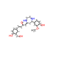 COc1cc(C2C/C(=C/C(=O)/C=C/c3ccc(O)c(CO)c3)NCCN2)ccc1O